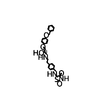 O=C1NC(=O)C(NCc2ccc(CCNC[C@H](O)COc3ccc(OCc4ccccc4)cc3)cc2)S1